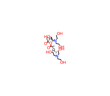 CC(=O)OC(C)=O.OCCN(CCO)CCO.OCCN(CCO)CCO